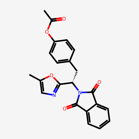 CC(=O)Oc1ccc(C[C@@H](c2ncc(C)o2)N2C(=O)c3ccccc3C2=O)cc1